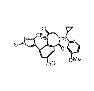 CCn1cc(-c2cc(C=O)cc3c2NC(=O)CN([C@H](c2cc(OC)ccn2)C2CC2)C3=O)c(C(F)(F)F)n1